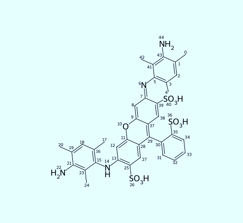 Cc1cc(C)c(/N=c2/cc3oc4cc(Nc5c(C)cc(C)c(N)c5C)c(S(=O)(=O)O)cc4c(-c4ccccc4S(=O)(=O)O)c-3cc2S(=O)(=O)O)c(C)c1N